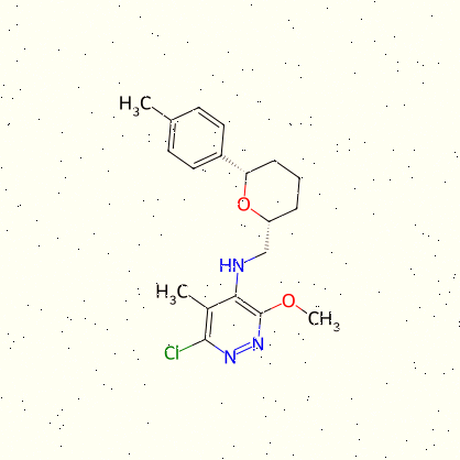 COc1nnc(Cl)c(C)c1NC[C@H]1CCC[C@@H](c2ccc(C)cc2)O1